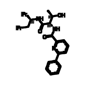 CC(C)C[C@H](NC(=O)[C@@H](NC(=O)c1cccc(-c2ccccc2)n1)[C@@H](C)O)C(C)C